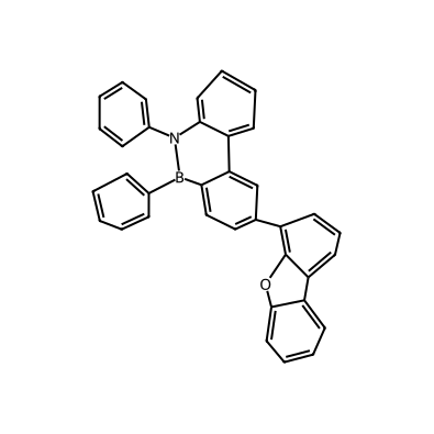 c1ccc(B2c3ccc(-c4cccc5c4oc4ccccc45)cc3-c3ccccc3N2c2ccccc2)cc1